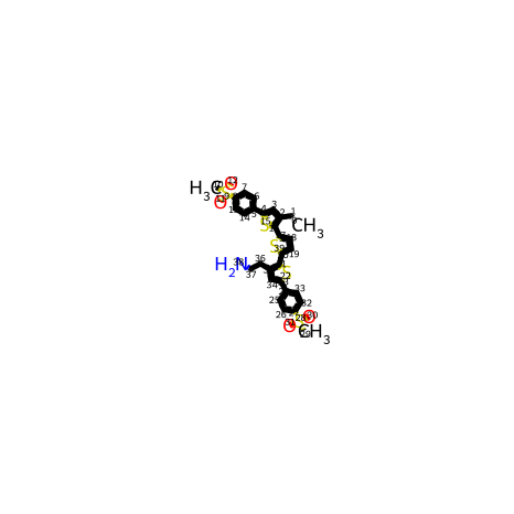 CCc1cc(-c2ccc(S(C)(=O)=O)cc2)sc1-c1ccc(-c2sc(-c3ccc(S(C)(=O)=O)cc3)cc2CCN)s1